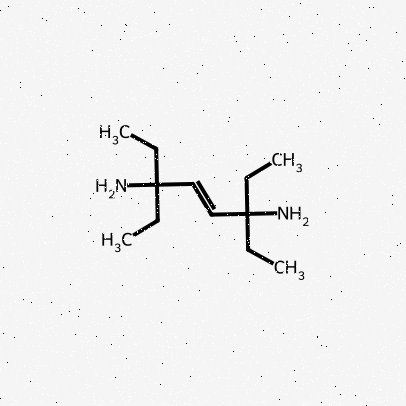 CCC(N)(C=CC(N)(CC)CC)CC